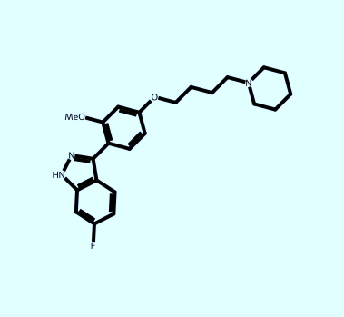 COc1cc(OCCCCN2CCCCC2)ccc1-c1n[nH]c2cc(F)ccc12